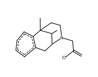 C=C(Cl)CN1CCC2(C)c3ccccc3CC1C2C